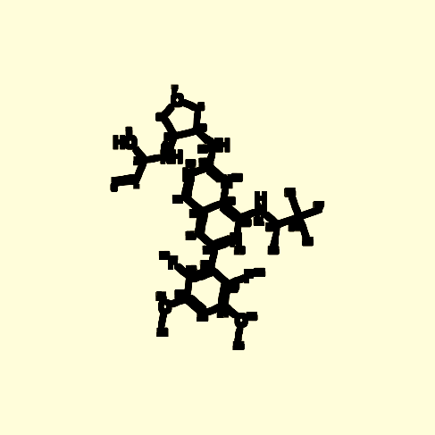 C=CC(O)N[C@H]1COC[C@H]1Nc1ncc2cc(-c3c(F)c(OC)cc(OC)c3F)nc(N[C@H](C)C(C)(C)C)c2n1